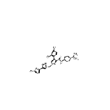 CC(C)N1CCC(NC(=O)c2nn(Cc3cc(-c4ccc(Cl)s4)on3)cc2-c2ccc(Cl)cc2Cl)CC1